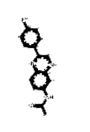 CC(=O)Nc1ccc2nc(-c3ccc(F)cc3)cnc2c1